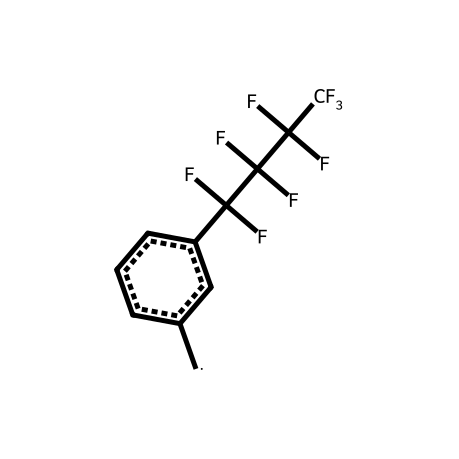 [CH2]c1cccc(C(F)(F)C(F)(F)C(F)(F)C(F)(F)F)c1